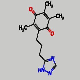 CC1=C(C)C(=O)C(CCCc2ncn[nH]2)=C(C)C1=O